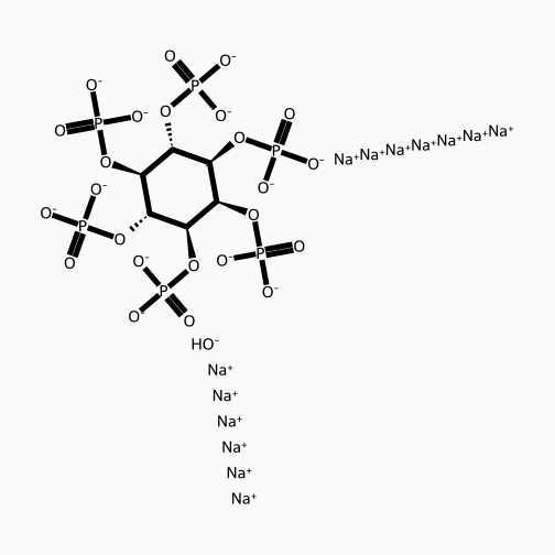 O=P([O-])([O-])O[C@H]1[C@H](OP(=O)([O-])[O-])[C@@H](OP(=O)([O-])[O-])[C@H](OP(=O)([O-])[O-])[C@@H](OP(=O)([O-])[O-])[C@H]1OP(=O)([O-])[O-].[Na+].[Na+].[Na+].[Na+].[Na+].[Na+].[Na+].[Na+].[Na+].[Na+].[Na+].[Na+].[Na+].[OH-]